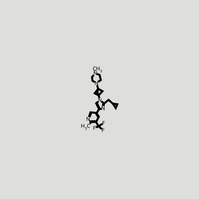 Cc1ncc(-c2cn(C34CC(N5CCN(C)CC5)(C3)C4)c(CC3CC3)n2)cc1C(F)(F)F